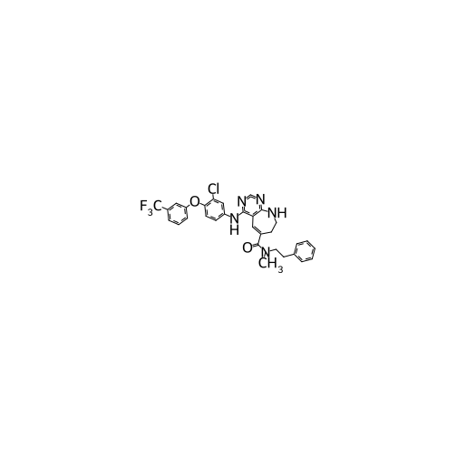 CN(CCc1ccccc1)C(=O)C1=Cc2c(ncnc2Nc2ccc(Oc3cccc(C(F)(F)F)c3)c(Cl)c2)NCC1